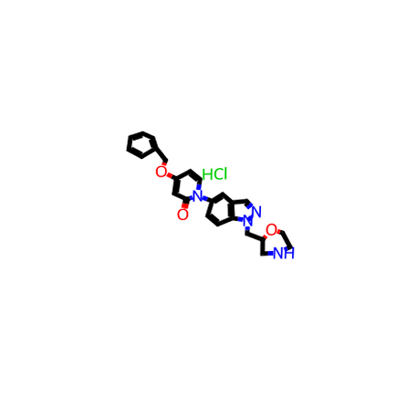 Cl.O=c1cc(OCc2ccccc2)ccn1-c1ccc2c(cnn2CC2CNCCO2)c1